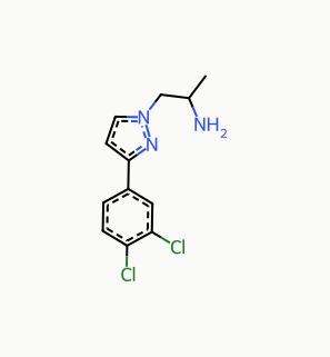 CC(N)Cn1ccc(-c2ccc(Cl)c(Cl)c2)n1